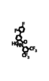 O=C(Nc1cc(C(F)(F)F)cc(C(F)(F)F)c1)c1cc(-c2ccc(F)cc2F)ccc1O